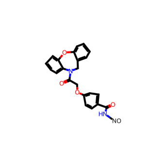 O=NNC(=O)c1ccc(OCC(=O)N2Cc3ccccc3Oc3ccccc32)cc1